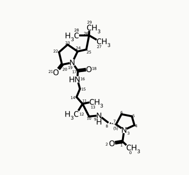 CC(=O)N1CCC[C@H]1CNCC(C)(C)CCNC(=O)N1C(=O)CCC1CC(C)(C)C